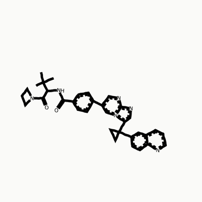 CC(C)(C)C(NC(=O)c1ccc(-c2cnc3ncc(C4(c5ccc6ncccc6c5)CC4)n3c2)cc1)C(=O)N1CCC1